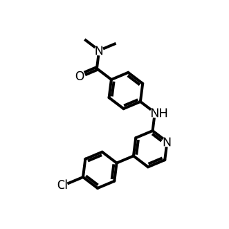 CN(C)C(=O)c1ccc(Nc2cc(-c3ccc(Cl)cc3)ccn2)cc1